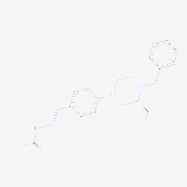 CC(C)C[C@H]1CN(c2cc(F)c(/C=N/NC(N)=S)cc2F)CCN1Cc1cccc(F)c1